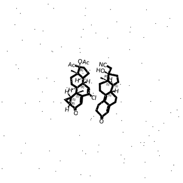 CC(=O)O[C@]1(C(C)=O)CC[C@H]2[C@@H]3C=C(Cl)C4=CC(=O)[C@@H]5C[C@@H]5[C@]4(C)[C@H]3CC[C@@]21C.C[C@]12CCC3=C4CCC(=O)C=C4CC[C@H]3[C@@H]1CC[C@@]2(O)CC#N